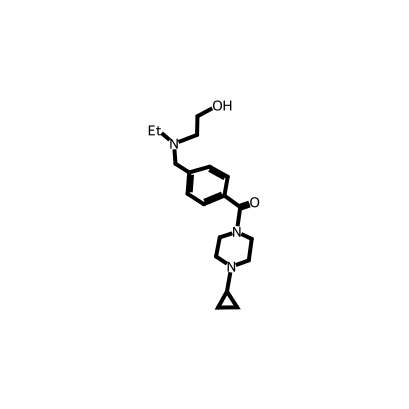 CCN(CCO)Cc1ccc(C(=O)N2CCN(C3CC3)CC2)cc1